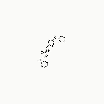 O=C(NCc1ccc(Oc2ccccc2)cc1)OC1COc2ncccc21